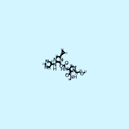 CNC(=O)c1c(NC(=O)Oc2nc(C3CC3)cnc2Nc2cncnc2)cnn1CCOC